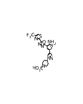 Nc1ncc(-c2cnn(C3CCN(C(=O)O)CC3)c2)cc1-c1nnc(-c2nc(C(F)(F)F)cs2)o1